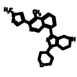 Cc1c(-c2cnn(C)c2)ncc2c(-c3nn(C4CCOCC4)c4c3CNCC4)cccc12